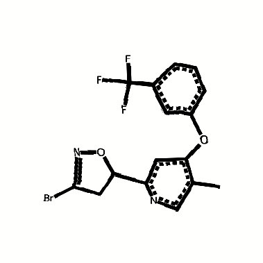 Cc1cnc(C2CC(Br)=NO2)cc1Oc1cccc(C(F)(F)F)c1